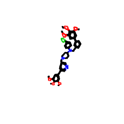 COc1cc(-c2cncc(CN3CCC(N(Cc4cccc(-c5cc(OC)c(OC)c(OC)c5)c4)c4ccc(Cl)cc4)CC3)c2)cc(OC)c1OC